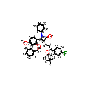 COc1ccc([C@@H]2[C@@H](CC[C@H](O[Si](C)(C)C(C)(C)C)c3ccc(F)cc3)C(=O)N2c2ccccc2)c(OCc2ccccc2)c1